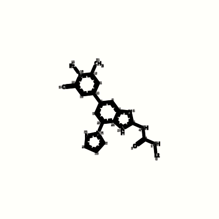 CCNC(=O)Nc1nc2cc(-c3cc(C)n(CC)c(=O)c3)cc(-n3cccn3)c2[nH]1